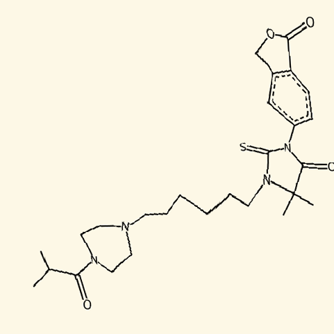 CC(C)C(=O)N1CCN(CCCCCCN2C(=S)N(c3ccc4c(c3)COC4=O)C(=O)C2(C)C)CC1